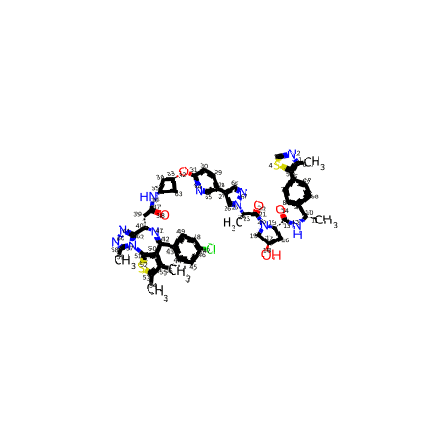 Cc1ncsc1-c1ccc([C@H](C)NC(=O)[C@@H]2C[C@@H](O)CN2C(=O)[C@@H](C)n2cc(-c3ccc(O[C@H]4C[C@H](NC(=O)C[C@@H]5N=C(c6ccc(Cl)cc6)c6c(sc(C)c6C)-n6c(C)nnc65)C4)nc3)cn2)cc1